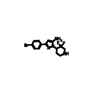 Nc1cc(-c2ccc(Br)cc2)nn1C1CCNCC1(F)F